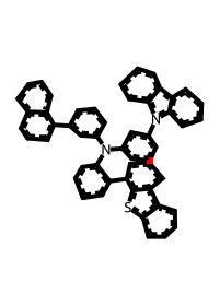 c1cc(-c2cccc3ccccc23)cc(N(c2cccc(-n3c4ccccc4c4ccccc43)c2)c2ccccc2-c2cccc3c2sc2ccccc23)c1